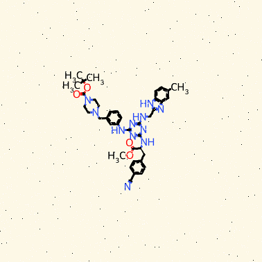 COC(=O)[C@H](Cc1ccc(C#N)cc1)Nc1nc(NCc2nc3cc(C)ccc3[nH]2)nc(Nc2cccc(CN3CCN(C(=O)OC(C)(C)C)CC3)c2)n1